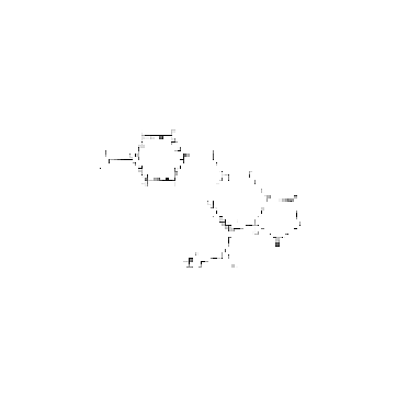 Bc1ccc(COC[C@@H]2CCCN2C(=O)OC(C)(C)C)cc1